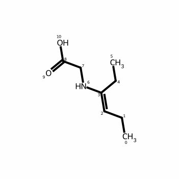 CC/C=C(\CC)NCC(=O)O